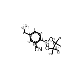 CC(C)Cc1ccc(B2OC(C)(C)C(C)(C)O2)c(C#N)c1